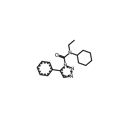 CCN(C(=O)n1nncc1-c1ccccc1)C1CCCCC1